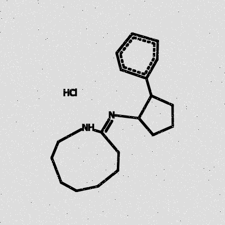 Cl.c1ccc(C2CCCC2N=C2CCCCCCCN2)cc1